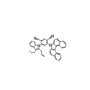 C=CCc1c(/C=C\C)c2ccccc2n1-c1cc(-n2c3ccc4ccccc4c3c3c4ccccc4ccc32)c(C#N)cc1C#N